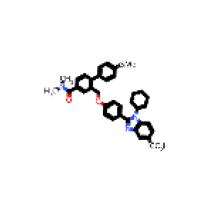 CSc1ccc(-c2ccc(C(=O)N(C)C)cc2COc2ccc(-c3nc4cc(C(=O)O)ccc4n3C3CCCCC3)cc2)cc1